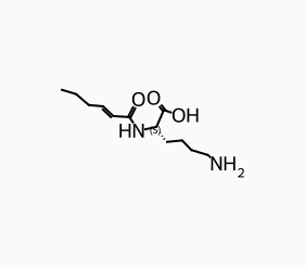 CCCC=CC(=O)N[C@@H](CCCCN)C(=O)O